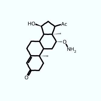 CC(=O)C1C[C@H](O)C2C3CCC4=CC(=O)CC[C@]4(C)C3C[C@@H](ON)[C@]12C